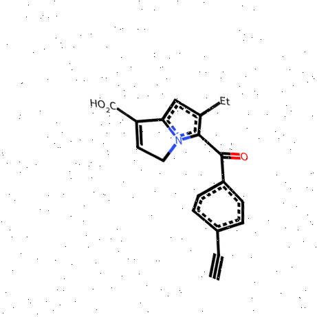 C#Cc1ccc(C(=O)c2c(CC)cc3n2CC=C3C(=O)O)cc1